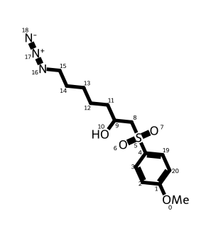 COc1ccc(S(=O)(=O)CC(O)CCCCCN=[N+]=[N-])cc1